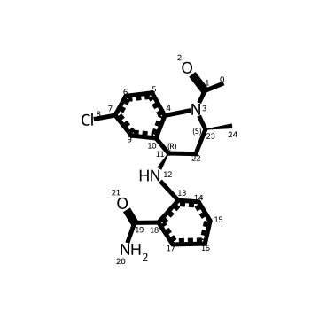 CC(=O)N1c2ccc(Cl)cc2[C@H](Nc2ccccc2C(N)=O)C[C@@H]1C